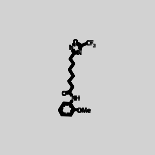 COc1ccccc1NC(=O)CCCCCCc1noc(C(F)(F)F)n1